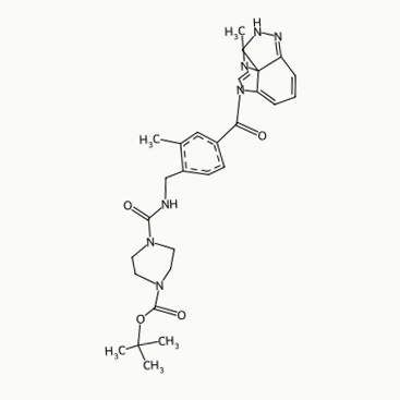 Cc1cc(C(=O)N2CC=CN(C)C34CNN=C3C=CC=C24)ccc1CNC(=O)N1CCN(C(=O)OC(C)(C)C)CC1